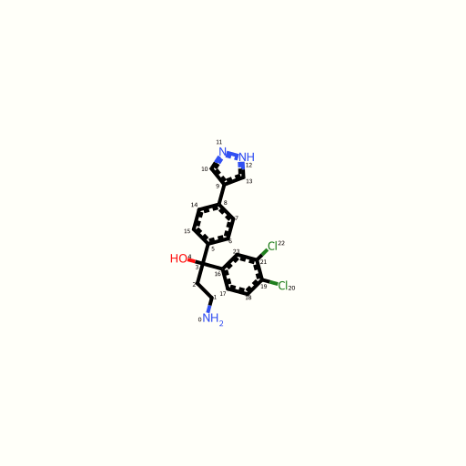 NCCC(O)(c1ccc(-c2cn[nH]c2)cc1)c1ccc(Cl)c(Cl)c1